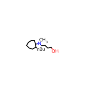 CCCCC1CCCCCCC1N(C)CCCCO